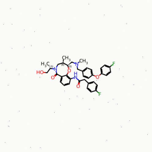 C[C@@H]1CN([C@@H](C)CO)C(=O)c2cccc(NC(=O)Cc3ccc(F)cc3)c2O[C@@H]1CN(C)Cc1ccc(Oc2ccc(F)cc2)cc1